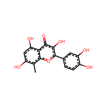 Cc1c(O)cc(O)c2c(=O)c(O)c(-c3ccc(O)c(O)c3)oc12